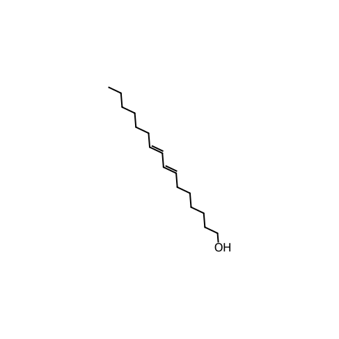 CCCCCCC=CC=CCCCCCCO